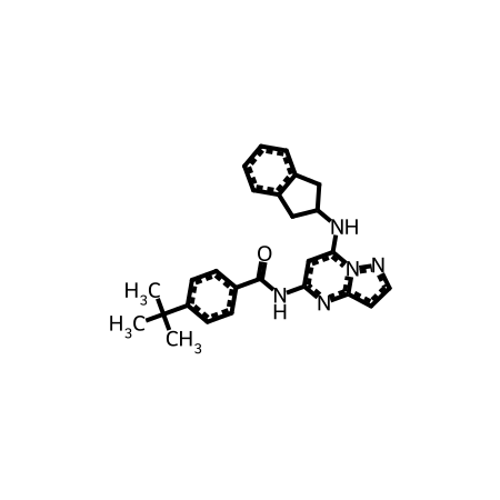 CC(C)(C)c1ccc(C(=O)Nc2cc(NC3Cc4ccccc4C3)n3nccc3n2)cc1